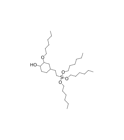 CCCCCCOC1CC(CC[Si](OCCCCCC)(OCCCCCC)OCCCCCC)CCC1O